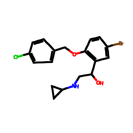 OC(CNC1CC1)c1cc(Br)ccc1OCc1ccc(Cl)cc1